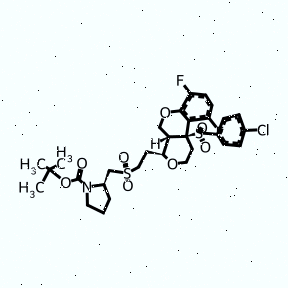 CC(C)(C)OC(=O)N1CCC[C@@H]1CS(=O)(=O)CC[C@@H]1OCC[C@@]2(S(=O)(=O)c3ccc(Cl)cc3)c3c(F)ccc(F)c3OC[C@@H]12